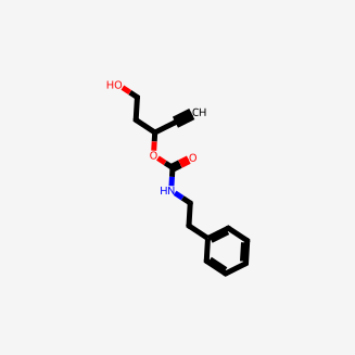 C#CC(CCO)OC(=O)NCCc1ccccc1